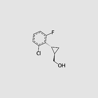 OC[C@@H]1C[C@H]1c1c(F)cccc1Cl